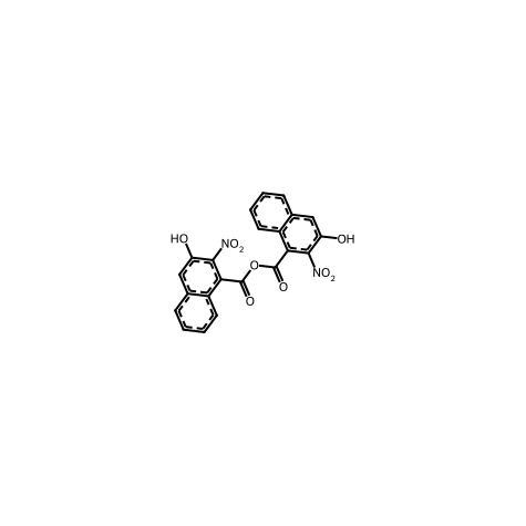 O=C(OC(=O)c1c([N+](=O)[O-])c(O)cc2ccccc12)c1c([N+](=O)[O-])c(O)cc2ccccc12